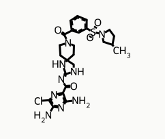 CC1CCN(S(=O)(=O)c2cccc(C(=O)N3CCC4(CC3)CN/C(=N\C(=O)c3nc(Cl)c(N)nc3N)N4)c2)C1